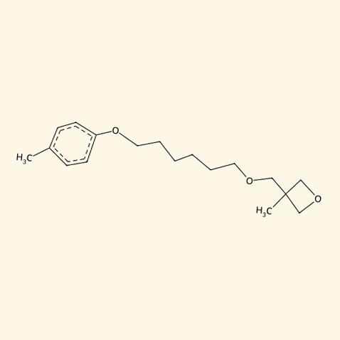 Cc1ccc(OCCCCCCOCC2(C)COC2)cc1